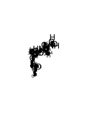 CCCCN1CCN(CCOc2ccc(NC(=O)Nc3cc(C(C)(C)C)cc(CN[SH](=O)=O)c3OC)c3c2CCC3)CC1=O